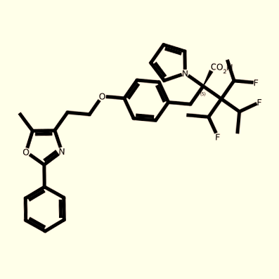 Cc1oc(-c2ccccc2)nc1CCOc1ccc(C[C@](C(=O)O)(n2cccc2)C(C(C)F)(C(C)F)C(C)F)cc1